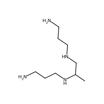 CC(CNCCCN)NCCCN